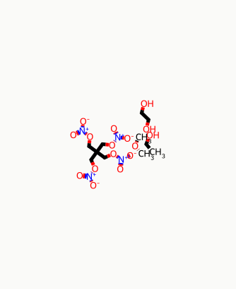 CCO.COC.O=[N+]([O-])OCC(CO[N+](=O)[O-])(CO[N+](=O)[O-])CO[N+](=O)[O-].OCCO